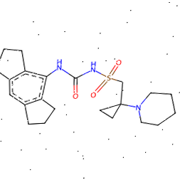 O=C(Nc1c2c(cc3c1CCC3)CCC2)NS(=O)(=O)CC1(N2CCCCC2)CC1